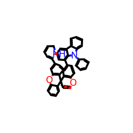 C1=CCNC(c2ccc3c(c2)Oc2ccccc2C32c3ccccc3Oc3ccc(-c4cccc5c6ccccc6n(-c6ccccc6)c45)cc32)=C1